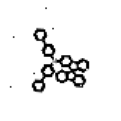 C1=CC2C3=C(CCCC3)C3(C4=CC(N(c5ccc(-c6ccccc6)cc5)c5ccc(-c6ccccc6)cc5)=CCC4c4ccccc43)C2C=C1